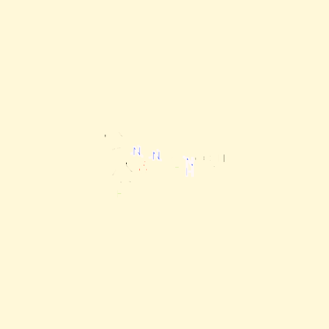 O=C(O)NCC1(F)CCN(C(=O)N2CCc3ccccc3[C@@H]2c2ccc(F)cc2)C1